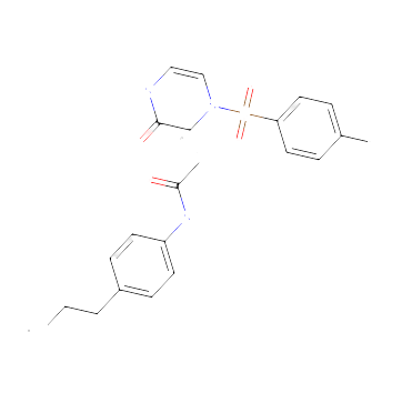 Cc1ccc(S(=O)(=O)N2C=CNC(=O)[C@H]2CC(=O)Nc2ccc(CCC=O)cc2)cc1